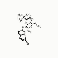 CCC1OC(C)[C@H](Nc2ccc3ccc(=O)oc3c2)C(OC(=O)C(C)(C)C)[C@H]1[18F]